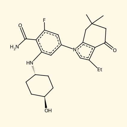 CCc1cn(-c2cc(F)c(C(N)=O)c(N[C@H]3CC[C@H](O)CC3)c2)c2c1C(=O)CC(C)(C)C2